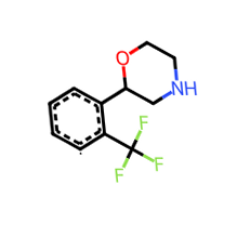 FC(F)(F)c1[c]cccc1C1CNCCO1